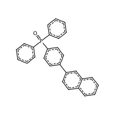 O=P(c1ccccc1)(c1ccccc1)c1ccc(-c2ccc3ccccc3c2)cc1